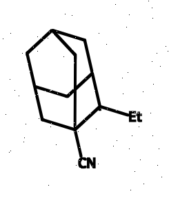 CC[C]1C2CC3CC(C2)CC1(C#N)C3